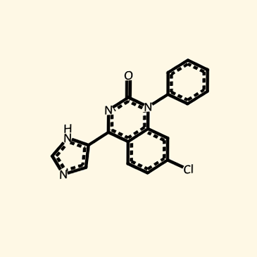 O=c1nc(-c2cnc[nH]2)c2ccc(Cl)cc2n1-c1ccccc1